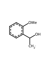 [CH2]C(O)c1ccccc1OC